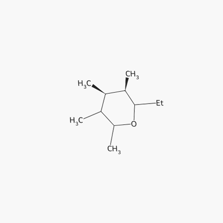 CCC1OC(C)C(C)[C@@H](C)[C@H]1C